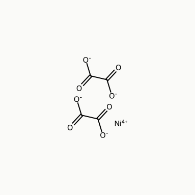 O=C([O-])C(=O)[O-].O=C([O-])C(=O)[O-].[Ni+4]